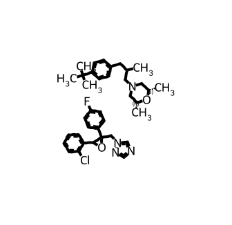 CC(Cc1ccc(C(C)(C)C)cc1)CN1C[C@@H](C)O[C@@H](C)C1.Fc1ccc(C2(Cn3cncn3)OC2c2ccccc2Cl)cc1